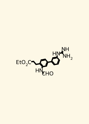 CCOC(=O)CCc1ccc(-c2cccc(NC(=N)N)c2)cc1NC=O